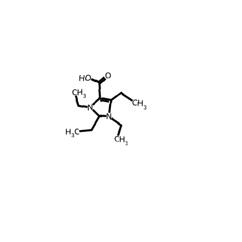 CCC1=C(C(=O)O)N(CC)C(CC)N1CC